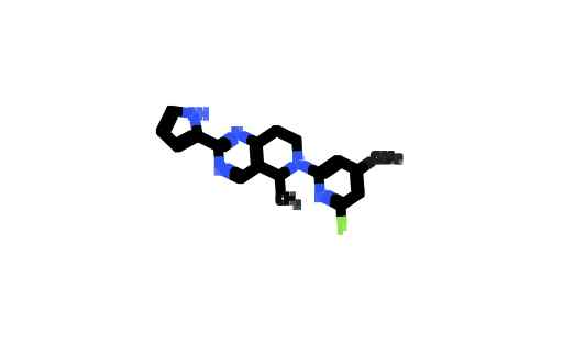 COc1cc(F)nc(N2CCc3nc(-c4ccc[nH]4)ncc3C2C)c1